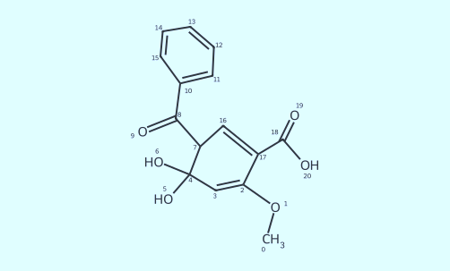 COC1=CC(O)(O)C(C(=O)c2ccccc2)C=C1C(=O)O